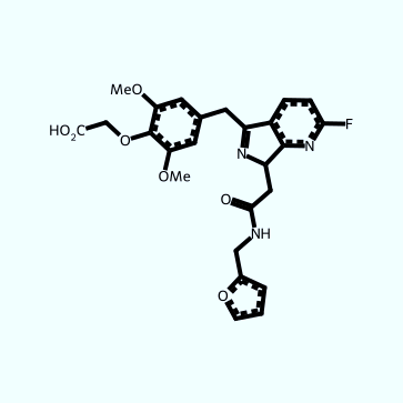 COc1cc(CC2=NC(CC(=O)NCc3ccco3)c3nc(F)ccc32)cc(OC)c1OCC(=O)O